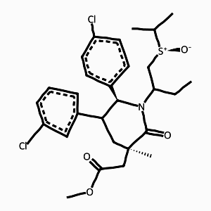 CCC(C[S@+]([O-])C(C)C)N1C(=O)[C@@](C)(CC(=O)OC)CC(c2cccc(Cl)c2)[C@H]1c1ccc(Cl)cc1